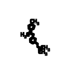 Cc1ccc(N(C)Cc2cccc(CCN(C)C)c2)cc1